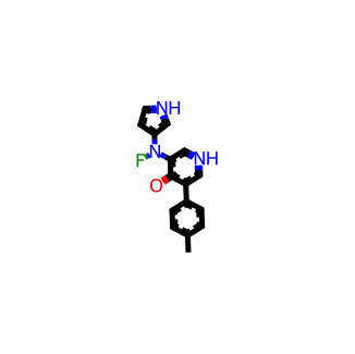 Cc1ccc(-c2c[nH]cc(N(F)c3cc[nH]c3)c2=O)cc1